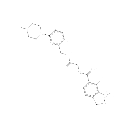 Cc1c(C(=O)NCC(=O)OCc2cccc(N3CCN(C)CC3)n2)ccc2c1B(O)OC2